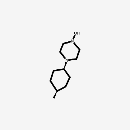 C[C@H]1CC[C@@H](N2CCN(O)CC2)CC1